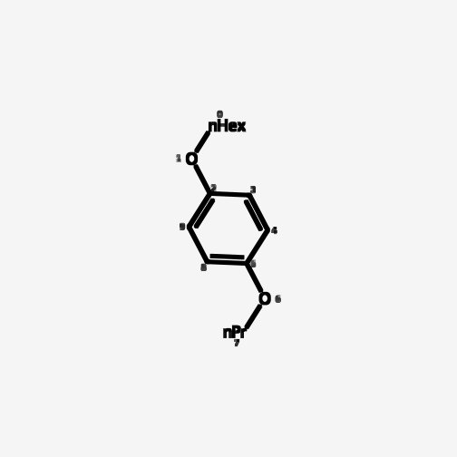 CCCCCCOc1ccc(OCCC)cc1